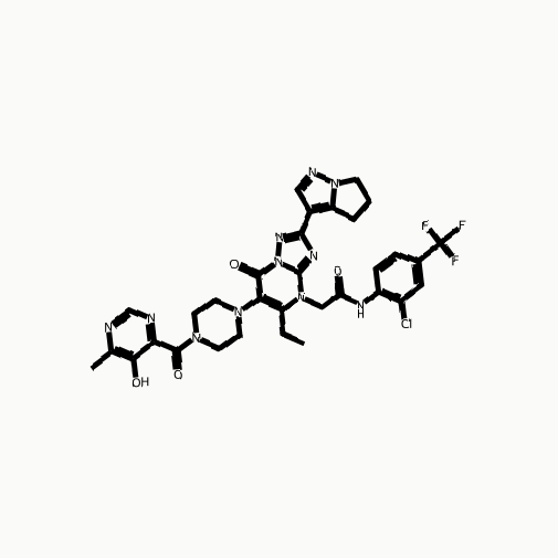 CCc1c(N2CCN(C(=O)c3ncnc(C)c3O)CC2)c(=O)n2nc(-c3cnn4c3CCC4)nc2n1CC(=O)Nc1ccc(C(F)(F)F)cc1Cl